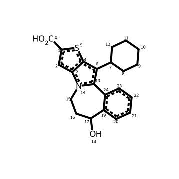 O=C(O)c1cc2c(s1)c(C1CCCCC1)c1n2CCC(O)c2ccccc2-1